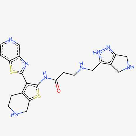 O=C(CCNCc1[nH]nc2c1CNC2)Nc1sc2c(c1-c1nc3cnccc3s1)CCNC2